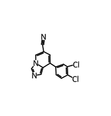 N#Cc1cc(-c2ccc(Cl)c(Cl)c2)c2cncn2c1